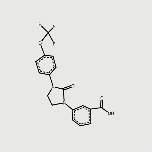 O=C(O)c1cccc(N2CCN(c3ccc(OC(F)(F)F)cc3)C2=O)c1